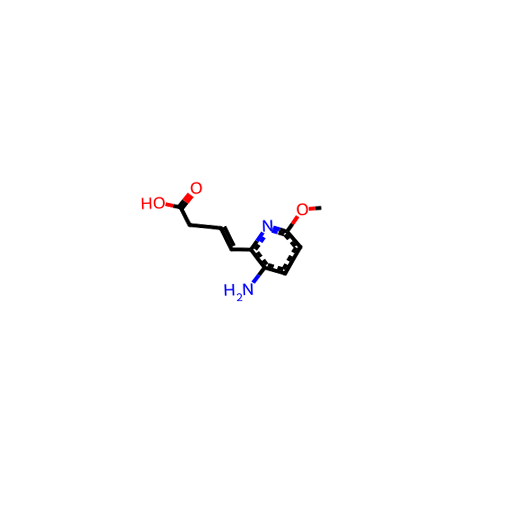 COc1ccc(N)c(/C=C/CC(=O)O)n1